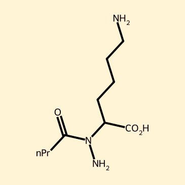 CCCC(=O)N(N)C(CCCCN)C(=O)O